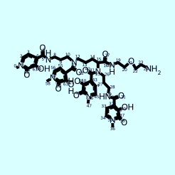 Cn1ccc(C(=O)NCCCN(CCCC(C(=O)NCCOCCN)N(CCCNC(=O)c2ccn(C)c(=O)c2O)C(=O)c2ccn(C)c(=O)c2O)C(=O)c2ccn(C)c(=O)c2O)c(O)c1=O